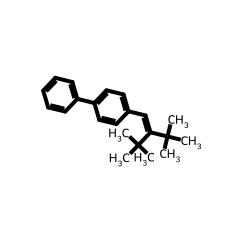 CC(C)(C)C(=Cc1ccc(-c2ccccc2)cc1)C(C)(C)C